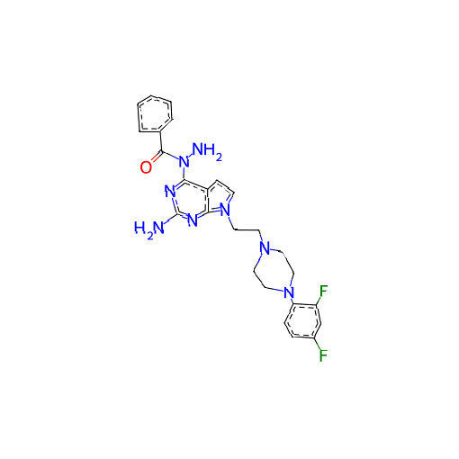 Nc1nc(N(N)C(=O)c2ccccc2)c2ccn(CCN3CCN(c4ccc(F)cc4F)CC3)c2n1